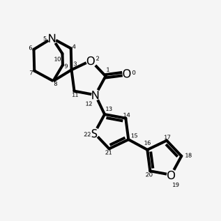 O=C1OC2(CN3CCC2CC3)CN1c1cc(-c2ccoc2)cs1